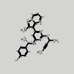 CC#CC(C)Oc1nc(N[C@@H](C)c2ccc(F)cc2)cc(-c2c(N)nn3cccnc23)n1